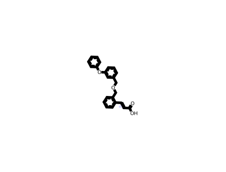 O=C(O)/C=C/c1ccccc1COCc1cccc(Oc2ccccc2)c1